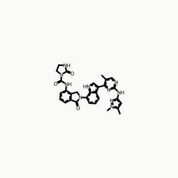 Cc1cnc(Nc2cc(C)n(C)n2)nc1-c1c[nH]c2c(N3Cc4c(NC(=O)N5CCNC5=O)cccc4C3=O)cccc12